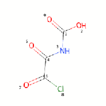 O=C(O)NC(=O)C(=O)Cl